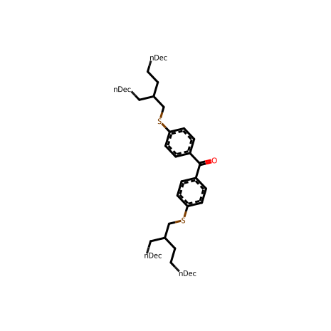 CCCCCCCCCCCCC(CCCCCCCCCCC)CSc1ccc(C(=O)c2ccc(SCC(CCCCCCCCCCC)CCCCCCCCCCCC)cc2)cc1